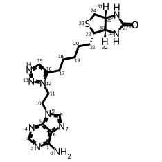 Nc1ncnc2c1ncn2CCn1nncc1CCCCC[C@@H]1SC[C@@H]2NC(=O)N[C@@H]21